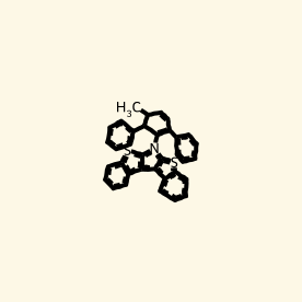 CC1C=CC(c2ccccc2)=C(n2c3sc4ccccc4c3c3c4ccccc4sc32)C1c1ccccc1